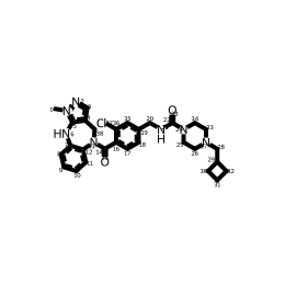 Cn1ncc2c1Nc1ccccc1N(C(=O)c1ccc(CNC(=O)N3CCN(CC4CCC4)CC3)cc1Cl)C2